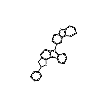 c1ccc(C2Cc3ccc4c(c3S2)c2ccccc2n4-c2ccc3sc4ccccc4c3c2)cc1